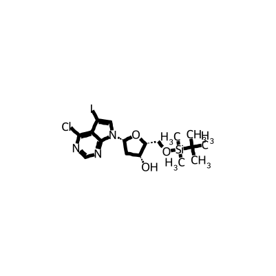 CC(C)(C)[Si](C)(C)OC[C@H]1O[C@@H](n2cc(I)c3c(Cl)ncnc32)C[C@H]1O